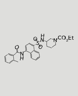 CCOC(=O)N1CCCC(NS(=O)(=O)c2ccc(NC(=O)c3ccccc3C)c3ccccc23)C1